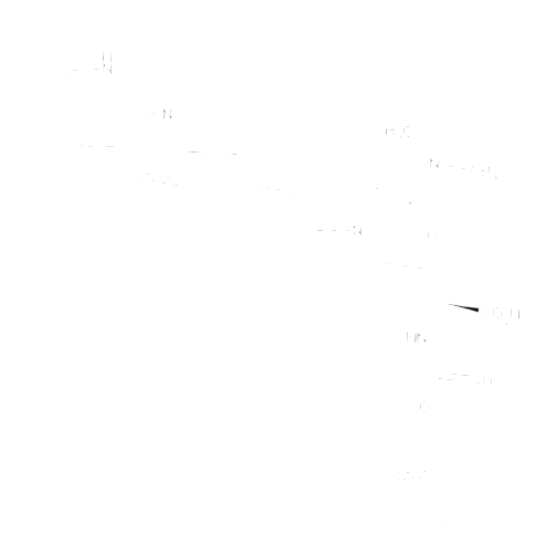 CN(C)C(=O)CN(CCCCc1ccc2c(n1)NCCC2)CC[C@H](NC(=O)OCc1ccccc1)C(=O)O